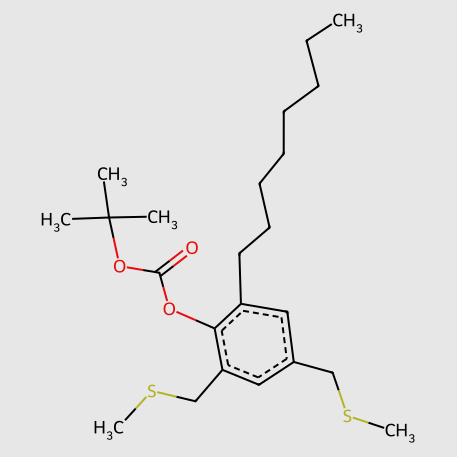 CCCCCCCCc1cc(CSC)cc(CSC)c1OC(=O)OC(C)(C)C